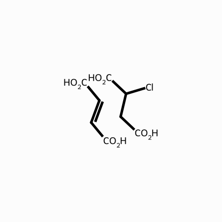 O=C(O)C=CC(=O)O.O=C(O)CC(Cl)C(=O)O